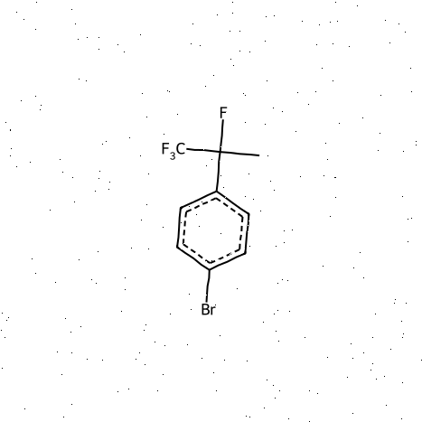 CC(F)(c1ccc(Br)cc1)C(F)(F)F